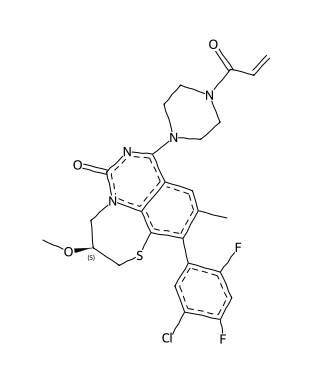 C=CC(=O)N1CCN(c2nc(=O)n3c4c(c(-c5cc(Cl)c(F)cc5F)c(C)cc24)SC[C@@H](OC)C3)CC1